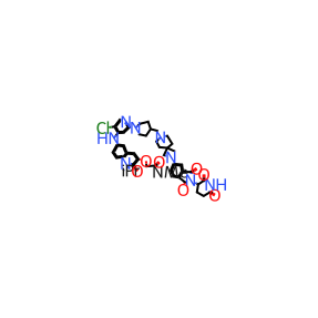 CNC(=O)COc1cc2cc(Nc3cc(N4CCC(CN5CCC6(CC5)CN(c5ccc7c(c5)C(=O)N(C5CCC(=O)NC5=O)C7=O)C6)CC4)ncc3Cl)ccc2n(C(C)C)c1=O